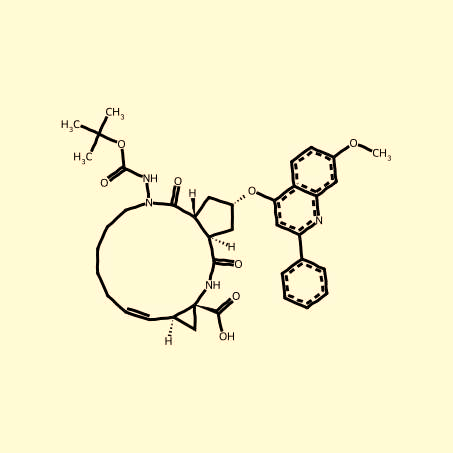 COc1ccc2c(O[C@@H]3C[C@H]4C(=O)N[C@]5(C(=O)O)C[C@H]5C=CCCCCCN(NC(=O)OC(C)(C)C)C(=O)[C@@H]4C3)cc(-c3ccccc3)nc2c1